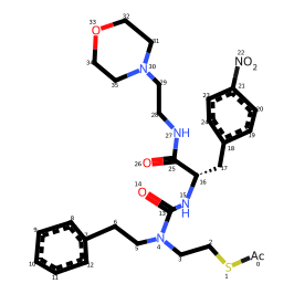 CC(=O)SCCN(CCc1ccccc1)C(=O)N[C@@H](Cc1ccc([N+](=O)[O-])cc1)C(=O)NCCN1CCOCC1